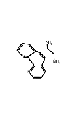 NCCN.c1cnc2c(c1)ccc1cccnc12